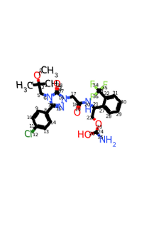 COC(C)(C)Cn1c(-c2ccc(Cl)cc2)nn(CC(=O)NC(COC(N)O)c2ccccc2C(F)(F)F)c1=O